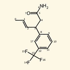 C/C=C/C(CC(N)=O)c1cccc(C(F)(F)F)c1